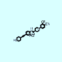 Cl.N#Cc1ccc(N2CCC(C(=O)Nc3ccc(C#CC4CCNCC4)cn3)CC2)cc1C(F)(F)F